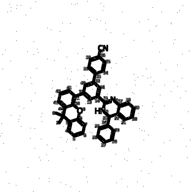 CC1(C)c2ccccc2Oc2c(-c3cc(C4=Nc5ccccc5C(c5ccccc5)N4)cc(-c4ccc(C#N)cc4)c3)cccc21